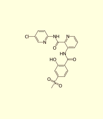 CS(=O)(=O)c1ccc(C(=O)Nc2cccnc2C(=O)Nc2ccc(Cl)cn2)c(O)c1